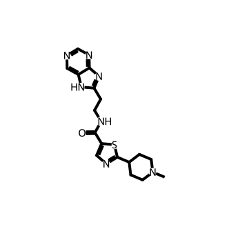 CN1CCC(c2ncc(C(=O)NCCc3nc4ncncc4[nH]3)s2)CC1